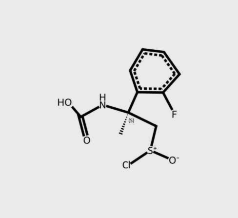 C[C@](C[S+]([O-])Cl)(NC(=O)O)c1ccccc1F